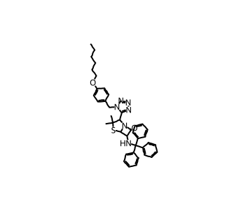 CCCCCCOc1ccc(Cn2nnnc2C2N3C(=O)C(NC(c4ccccc4)(c4ccccc4)c4ccccc4)C3SC2(C)C)cc1